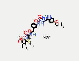 COc1ccc(C2NN3C(=O)N(C(=O)NC4C=CCC(CC(=O)N[C@@H]5C(=O)N6[C@@H]5SC(C)(C)[C@@H]6C(=O)[O-])=C4)CC23)cc1.[Na+]